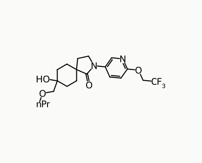 CCCOCC1(O)CCC2(CCN(c3ccc(OCC(F)(F)F)nc3)C2=O)CC1